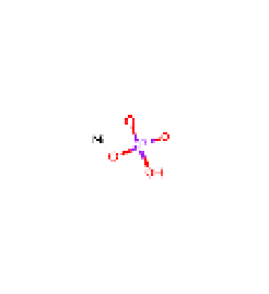 [Ni].[O-][I+3]([O-])([O-])O